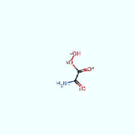 NC(=O)C(=O)OO